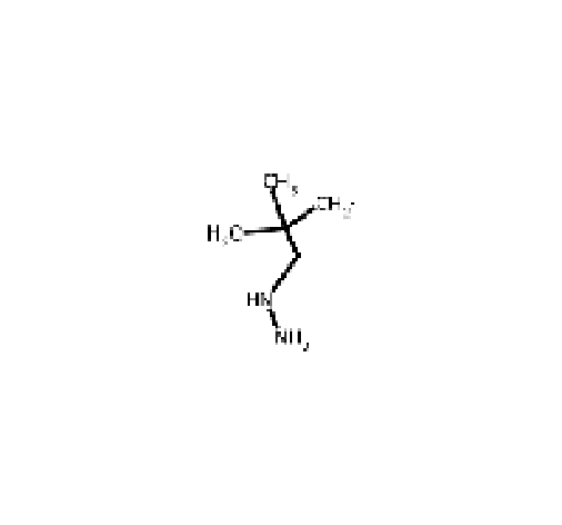 [CH2]C(C)(C)CNN